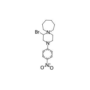 O=[N+]([O-])c1ccc(N2CC[N+]3(CCCCCC3)C(Br)C2)cc1